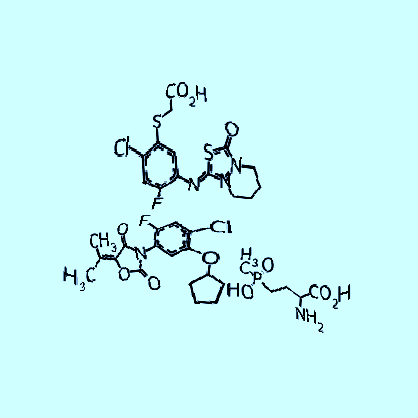 CC(C)=C1OC(=O)N(c2cc(OC3CCCC3)c(Cl)cc2F)C1=O.CP(=O)(O)CCC(N)C(=O)O.O=C(O)CSc1cc(N=c2sc(=O)n3n2CCCC3)c(F)cc1Cl